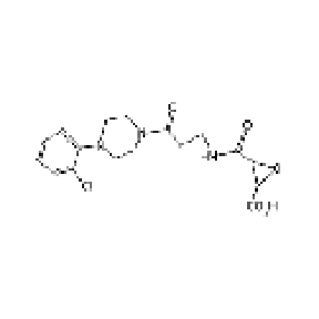 O=C(O)C1OC1C(=O)NCCC(=O)N1CCN(c2ccccc2Cl)CC1